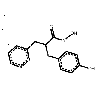 O=C(NO)C(Cc1ccccc1)Sc1ccc(O)cc1